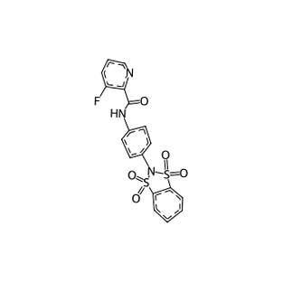 O=C(Nc1ccc(N2S(=O)(=O)c3ccccc3S2(=O)=O)cc1)c1ncccc1F